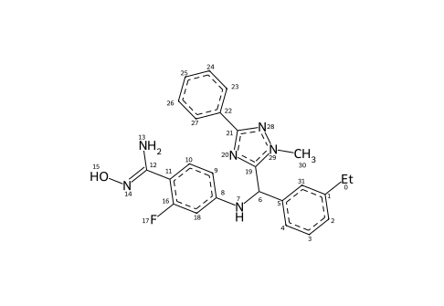 CCc1cccc(C(Nc2ccc(C(N)=NO)c(F)c2)c2nc(-c3ccccc3)nn2C)c1